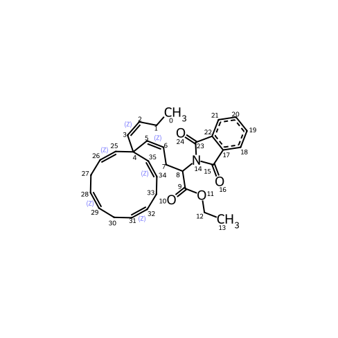 CC/C=C\C1(/C=C\CC(C(=O)OCC)N2C(=O)c3ccccc3C2=O)/C=C\C/C=C\C/C=C\C/C=C\1